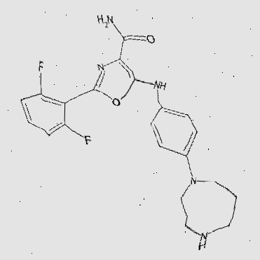 NC(=O)c1nc(-c2c(F)cccc2F)oc1Nc1ccc(N2CCCNCC2)cc1